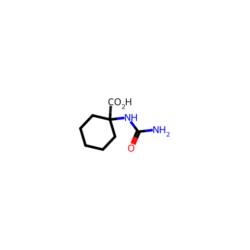 NC(=O)NC1(C(=O)O)CCCCC1